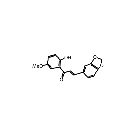 COc1ccc(O)c(C(=O)C=Cc2ccc3c(c2)OCO3)c1